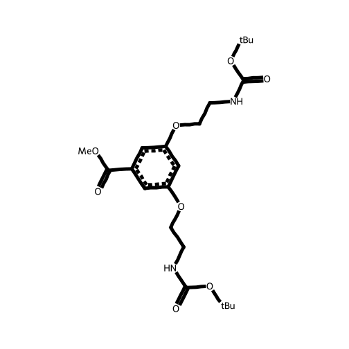 COC(=O)c1cc(OCCNC(=O)OC(C)(C)C)cc(OCCNC(=O)OC(C)(C)C)c1